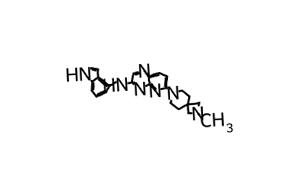 CN1CC2(CCN(c3ccc4ncc(NCc5cccc6[nH]ccc56)nc4n3)CC2)C1